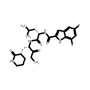 CCC(=O)[C@H](C[C@@H]1CCCNC1=O)NC(=O)[C@H](CC(C)C)NC(=O)c1cc2cc(F)cc(F)c2[nH]1